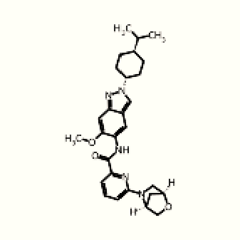 COc1cc2nn([C@H]3CC[C@H](C(C)C)CC3)cc2cc1NC(=O)c1cccc(N2C[C@@H]3C[C@H]2CO3)n1